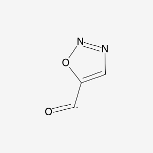 O=[C]c1cnno1